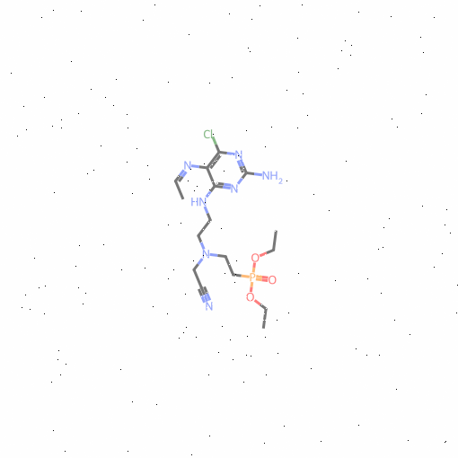 C/C=N\c1c(Cl)nc(N)nc1NCCN(CC#N)CCP(=O)(OCC)OCC